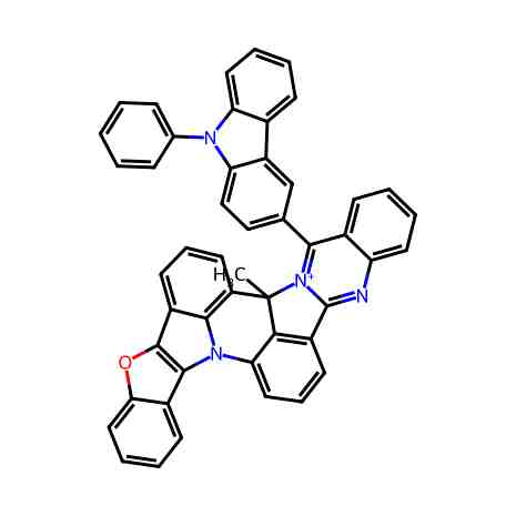 CC12c3c(cccc3-n3c4c1cccc4c1oc4ccccc4c13)-c1nc3ccccc3c(-c3ccc4c(c3)c3ccccc3n4-c3ccccc3)[n+]12